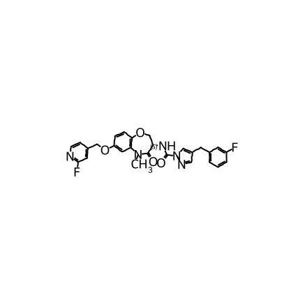 CN1C(=O)[C@@H](NC(=O)n2cc(Cc3cccc(F)c3)cn2)COc2ccc(OCc3ccnc(F)c3)cc21